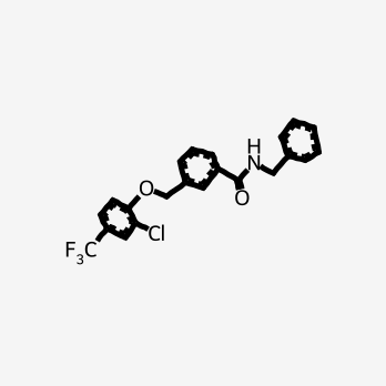 O=C(NCc1ccccc1)c1cccc(COc2ccc(C(F)(F)F)cc2Cl)c1